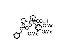 COc1cc(C[C@@]2(C(=O)O)CCCN2C(=O)C2CCCN2C(=O)OCc2ccccc2)cc(OC)c1OC